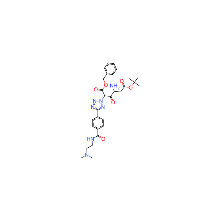 CN(C)CCNC(=O)c1ccc(-c2nnn(C(C(=O)OCc3ccccc3)C(=O)C(N)CC(=O)OC(C)(C)C)n2)cc1